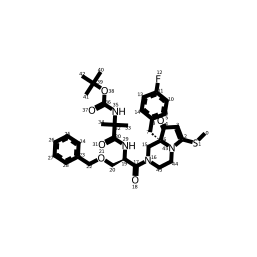 CSC1=CC(=O)[C@]2(Cc3ccc(F)cc3)CN(C(=O)[C@@H](COCc3ccccc3)NC(=O)C(C)(C)NC(=O)OC(C)(C)C)CCN12